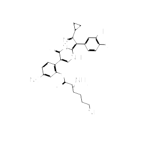 N#Cc1ccc(-c2c[nH]c3c(-c4ccc(Cl)c(Cl)c4)c(C4CC4)nn3c2=O)c(OC(=O)[C@H](N)CCCCN)c1